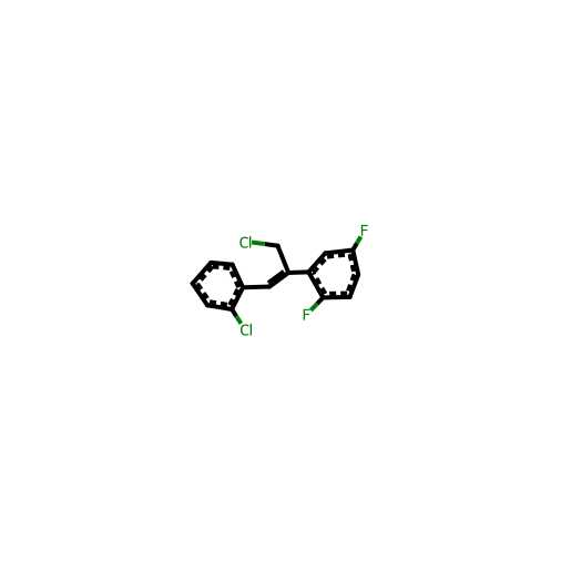 Fc1ccc(F)c(/C(=C/c2ccccc2Cl)CCl)c1